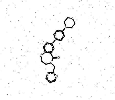 O=C1c2cc(-c3ccc(N4CCOCC4)cc3)ccc2OCCN1Cc1ncccn1